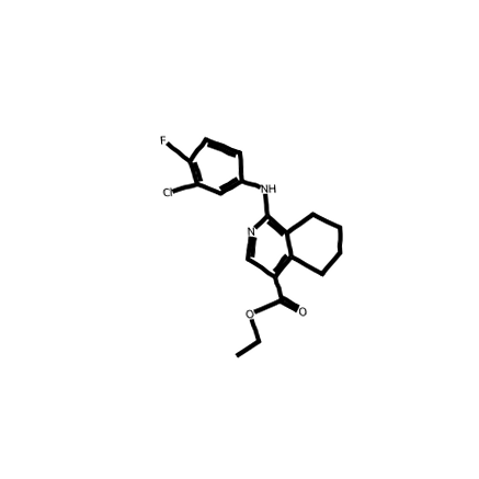 CCOC(=O)c1cnc(Nc2ccc(F)c(Cl)c2)c2c1CCCC2